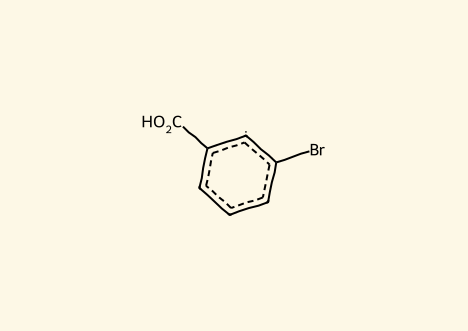 O=C(O)c1[c]c(Br)ccc1